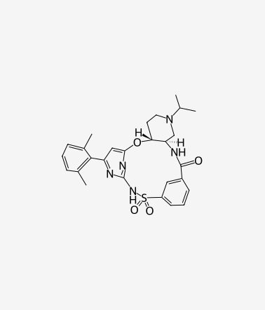 Cc1cccc(C)c1-c1cc2nc(n1)NS(=O)(=O)c1cccc(c1)C(=O)N[C@@H]1CN(C(C)C)CC[C@H]1O2